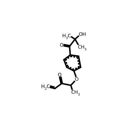 C=CC(=O)C(C)Oc1ccc(C(=O)C(C)(C)O)cc1